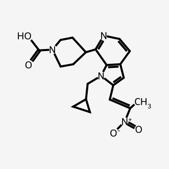 C/C(=C\c1cc2ccnc(C3CCN(C(=O)O)CC3)c2n1CC1CC1)[N+](=O)[O-]